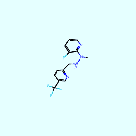 CN(NCc1ccc(C(F)(F)F)cn1)c1ncccc1F